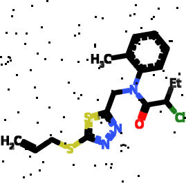 C=CCSc1nnc(CN(C(=O)C(Cl)CC)c2ccccc2C)s1